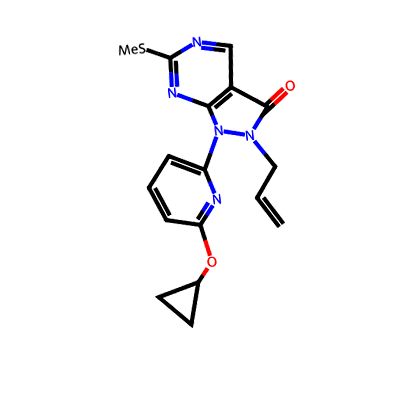 C=CCn1c(=O)c2cnc(SC)nc2n1-c1cccc(OC2CC2)n1